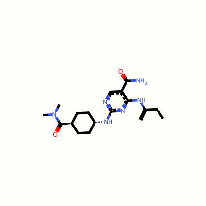 C=C(CC)Nc1nc(N[C@H]2CC[C@H](C(=O)N(C)C)CC2)ncc1C(N)=O